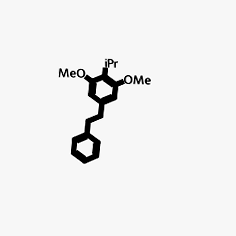 COc1cc(CCc2ccccc2)cc(OC)c1C(C)C